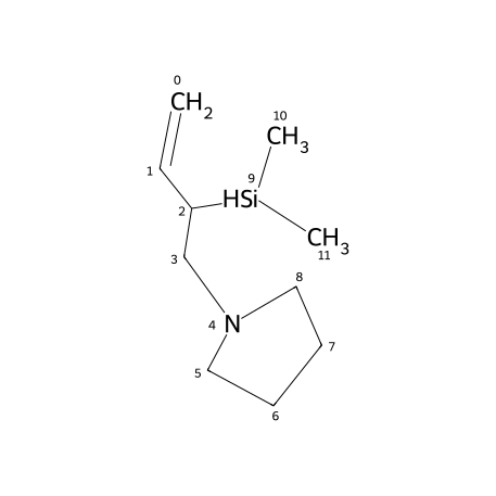 C=CC(CN1CCCC1)[SiH](C)C